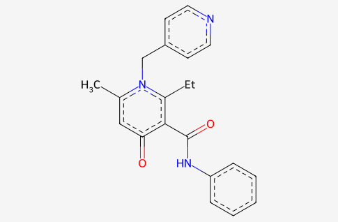 CCc1c(C(=O)Nc2ccccc2)c(=O)cc(C)n1Cc1ccncc1